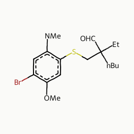 CCCCC(C=O)(CC)CSc1cc(OC)c(Br)cc1NC